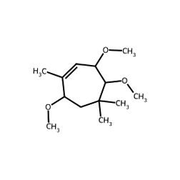 COC1CC(C)(C)C(OC)C(OC)C=C1C